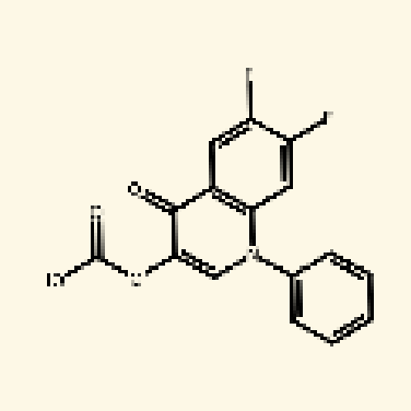 O=C(O)Oc1cn(-c2ccccc2)c2cc(F)c(F)cc2c1=O